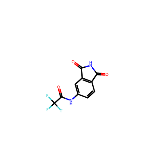 O=C1NC(=O)c2cc(NC(=O)C(F)(F)F)ccc21